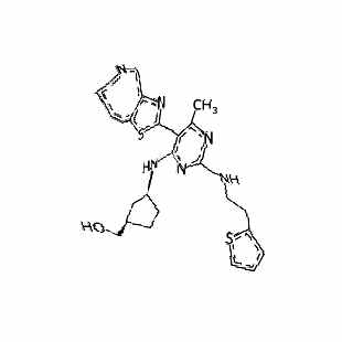 Cc1nc(NCCc2cccs2)nc(N[C@H]2CC[C@@H](CO)C2)c1-c1nc2cnccc2s1